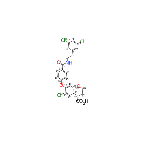 O=C(NCCc1cc(Cl)cc(Cl)c1)c1ccc(Oc2cc3c(cc2Cl)C(C(=O)O)CCO3)cc1